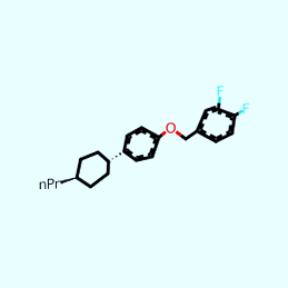 CCC[C@H]1CC[C@H](c2ccc(OCc3ccc(F)c(F)c3)cc2)CC1